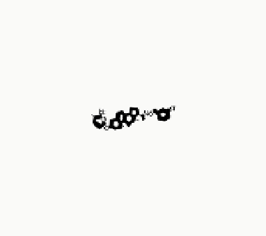 CC[C@H]1OC(OC2CC[C@@]3(C)C(=CCC4C3CC[C@@]3(C)C4CC[C@@H]3/C(C)=N/OCc3cccc(Cl)c3)C2)C=C[C@@H]1C